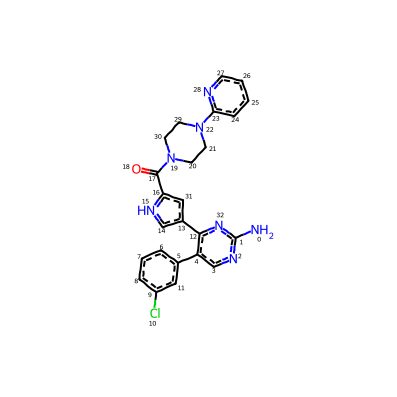 Nc1ncc(-c2cccc(Cl)c2)c(-c2c[nH]c(C(=O)N3CCN(c4ccccn4)CC3)c2)n1